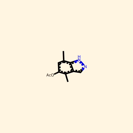 CC(=O)Oc1cc(C)c2[nH]ncc2c1C